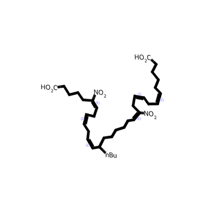 CCCCC(/C=C\C/C=C\C/C=C(\CCCCC(=O)O)[N+](=O)[O-])CCCCC/C=C(\C/C=C\C/C=C\CCCCC(=O)O)[N+](=O)[O-]